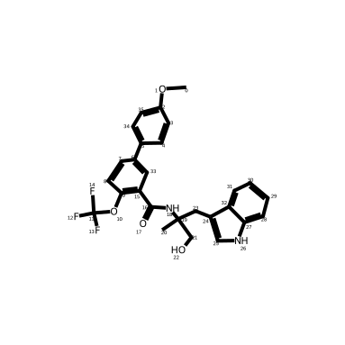 COc1ccc(-c2ccc(OC(F)(F)F)c(C(=O)NC(C)(CO)Cc3c[nH]c4ccccc34)c2)cc1